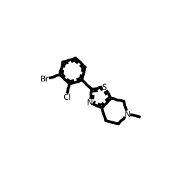 CN1CCc2nc(-c3cccc(Br)c3Cl)sc2C1